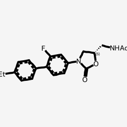 [CH2]Cc1ccc(-c2ccc(N3C[C@H](CNC(C)=O)OC3=O)cc2F)cc1